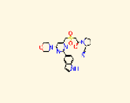 N#C[C@@H]1CCCN1C(=O)CS(=O)(=O)Cc1cc(N2CCOCC2)nc(-c2ccc3[nH]ccc3c2)n1